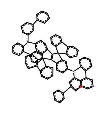 c1ccc(-c2cccc(N(c3ccc4c(c3)C3(C5=C4C4(c6cc(N(c7cccc(-c8ccccc8)c7)c7ccccc7-c7ccccc7)ccc65)c5ccccc5-c5ccccc54)c4ccccc4-c4ccccc43)c3ccccc3-c3ccccc3)c2)cc1